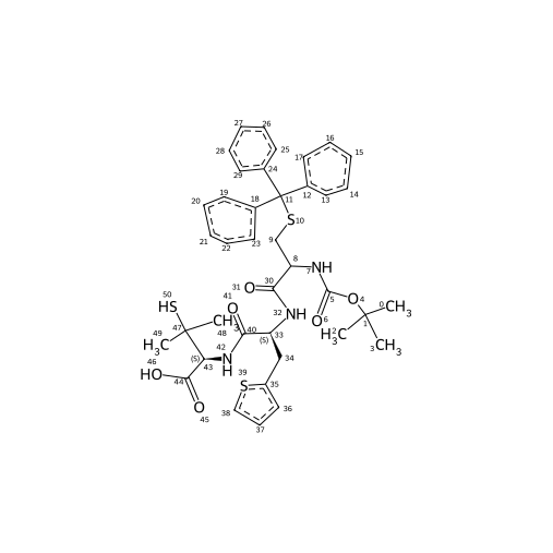 CC(C)(C)OC(=O)NC(CSC(c1ccccc1)(c1ccccc1)c1ccccc1)C(=O)N[C@@H](Cc1cccs1)C(=O)N[C@@H](C(=O)O)C(C)(C)S